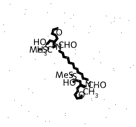 CSSC(O)CC(CC1CCCO1)=C(C)N(C=O)CCCCCCCCCCCCN(C=O)C(C)=C(CC1CCCO1)CC(O)SSC